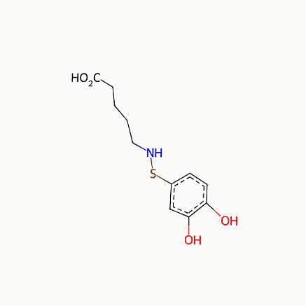 O=C(O)CCCCNSc1ccc(O)c(O)c1